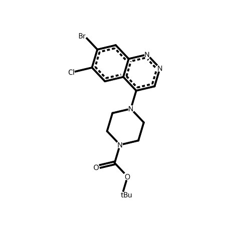 CC(C)(C)OC(=O)N1CCN(c2cnnc3cc(Br)c(Cl)cc23)CC1